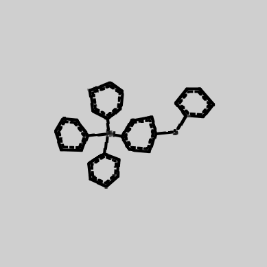 c1ccc(Sc2ccc([PH](c3ccccc3)(c3ccccc3)c3ccccc3)cc2)cc1